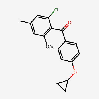 CC(=O)Oc1cc(C)cc(Cl)c1C(=O)c1ccc(OC2CC2)cc1